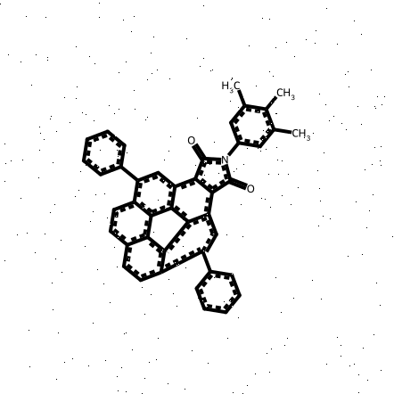 Cc1cc(-n2c(=O)c3c4cc(-c5ccccc5)c5ccc6ccc7c(-c8ccccc8)cc(c3c2=O)c2c7c6c5c42)cc(C)c1C